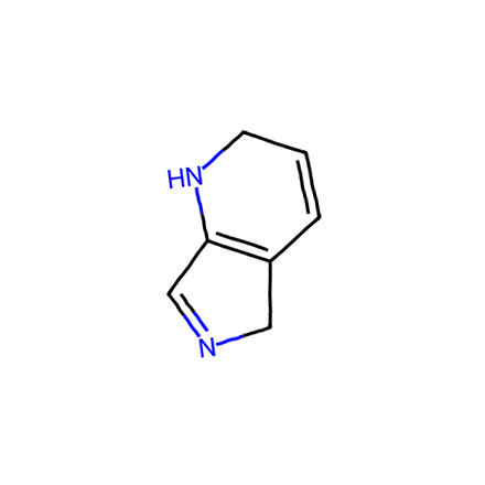 C1=CC2=C(C=NC2)NC1